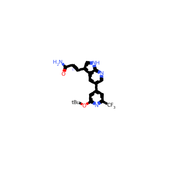 CC(C)(C)Oc1cc(-c2cnc3[nH]cc(/C=C/C(N)=O)c3c2)cc(C(F)(F)F)n1